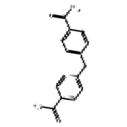 NC(=O)c1ccc(Cc2ccc(C(N)=O)cc2)cc1